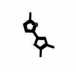 CC1=C(C)C=C(c2ccc(C)o2)[CH]1